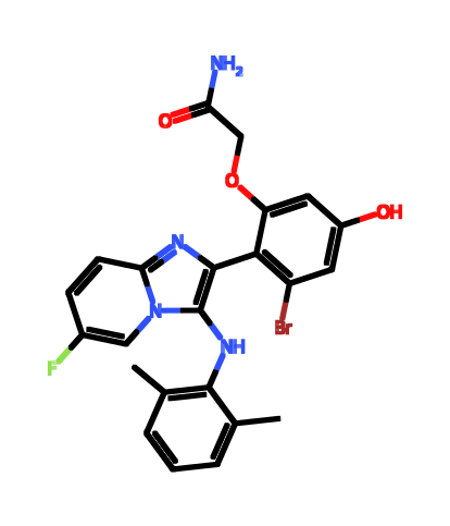 Cc1cccc(C)c1Nc1c(-c2c(Br)cc(O)cc2OCC(N)=O)nc2ccc(F)cn12